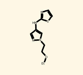 CCOCCn1cc(Nc2nccs2)cn1